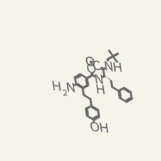 CC(C)(C)CNC(=C=O)[C@H](CCc1ccccc1)NC(=O)c1ccc(N)c(CCc2ccc(O)cc2)c1